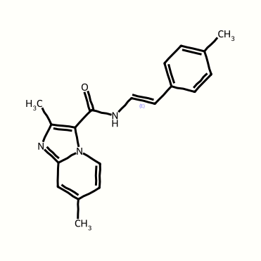 Cc1ccc(/C=C/NC(=O)c2c(C)nc3cc(C)ccn23)cc1